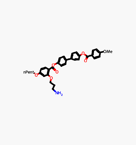 CCCCCOc1ccc(C(=O)Oc2ccc(-c3ccc(OC(=O)c4ccc(OC)cc4)cc3)cc2)c(OCCCN)c1